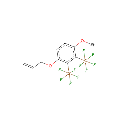 C=CCOc1ccc(OCC)c(S(F)(F)(F)(F)F)c1S(F)(F)(F)(F)F